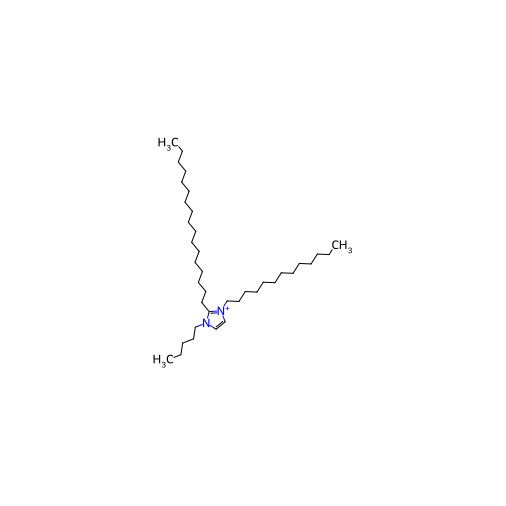 CCCCCCCCCCCCCCCCCc1n(CCCCC)cc[n+]1CCCCCCCCCCCCC